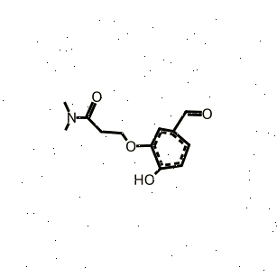 CN(C)C(=O)CCOc1cc(C=O)ccc1O